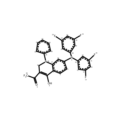 O=C(C1=C(O)c2ccc(N(c3cc(F)cc(F)c3)c3cc(F)cc(F)c3)cc2N(c2ccccc2)C1)C(F)(F)F